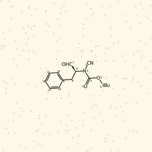 CC(C)(C)OC(=O)N(C#N)[C@H]([C]=O)Cc1ccccc1